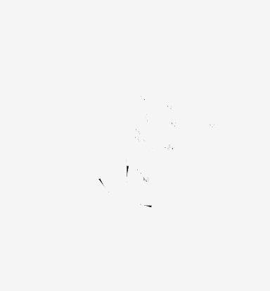 COc1cc(N2C[C@H]3CC[C@@H](C2)[C@H]3Nc2nc3n(n2)CCCN3c2ccc(F)cc2)ncn1